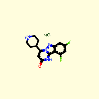 Cl.O=c1cc(C2CCNCC2)n2nc3cc(F)cc(F)c3c2[nH]1